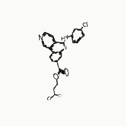 O=C(OCCC(Cl)Cl)c1ccc2c(c1)nc(Nc1cccc(Cl)c1)c1ccncc12